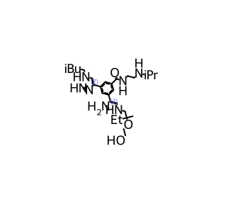 CCC(C)CN/C=C(\N=N)c1cc(C(=O)NCCNC(C)C)cc(/C(N)=C/NCC(C)(CC)OCCO)c1